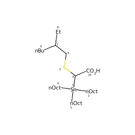 CCCCCCC[CH2][Sn]([CH2]CCCCCCC)([CH2]CCCCCCC)[CH](SCC(CC)CCCC)C(=O)O